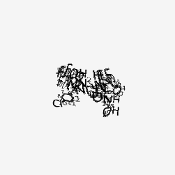 O=C(Cn1nc(-c2ccc(Cl)cc2)n(C[C@H](O)C(F)(F)F)c1=O)NC(C(=O)NCCO)c1ccccc1C(F)(F)F